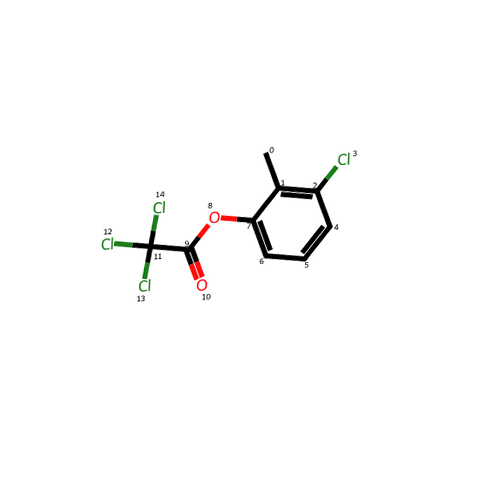 Cc1c(Cl)cccc1OC(=O)C(Cl)(Cl)Cl